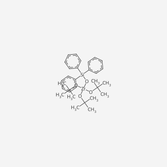 CC(C)(C)[O][Zr]([O]C(C)(C)C)([O]C(C)(C)C)[O][Si](c1ccccc1)(c1ccccc1)c1ccccc1